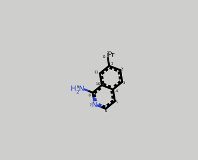 CC(C)c1ccc2ccnc(N)c2c1